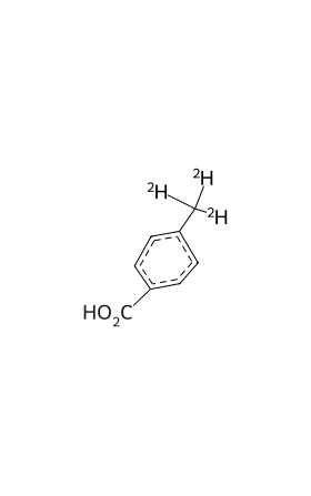 [2H]C([2H])([2H])c1ccc(C(=O)O)cc1